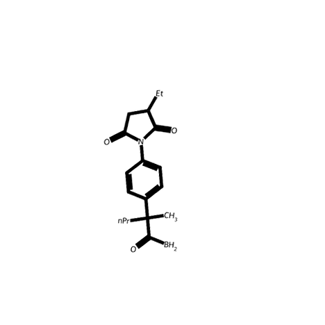 BC(=O)C(C)(CCC)c1ccc(N2C(=O)CC(CC)C2=O)cc1